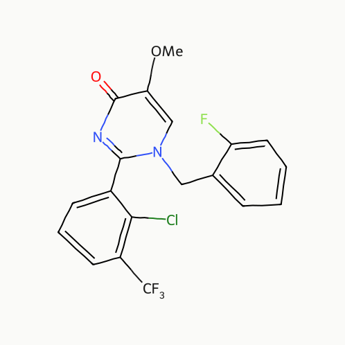 COc1cn(Cc2ccccc2F)c(-c2cccc(C(F)(F)F)c2Cl)nc1=O